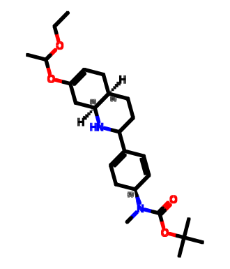 CCOC(C)OC1=CC[C@H]2CCC(C3=CC[C@H](N(C)C(=O)OC(C)(C)C)C=C3)N[C@H]2C1